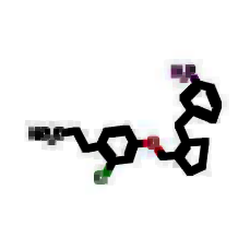 O=C(O)CCc1ccc(OCC2=C(Cc3cccc(P)c3)CCC2)cc1Cl